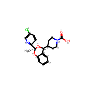 C[C@@]1(c2ccc(Cl)cn2)Oc2ccccc2C(C2CCN(C(=O)O)CC2)O1